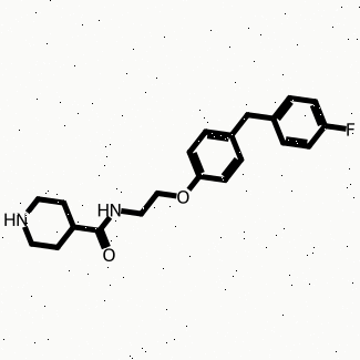 O=C(NCCOc1ccc(Cc2ccc(F)cc2)cc1)C1CCNCC1